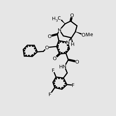 CO[C@@H]1CC(=O)[C@H](C)N2C[C@H]1n1cc(C(=O)NCc3c(F)cc(F)cc3F)c(=O)c(OCc3ccccc3)c1C2=O